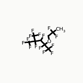 CC(F)(F)COC(F)(C(F)C(F)(C(F)(F)F)C(F)(F)F)C(F)(F)F